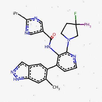 Cc1cc2[nH]ncc2cc1-c1ccnc(N2CCC(F)(P)C2)c1NC(=O)c1cnc(C(C)C)nc1